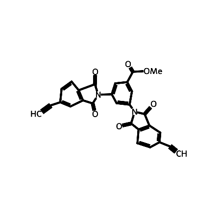 C#Cc1ccc2c(c1)C(=O)N(c1cc(C(=O)OC)cc(N3C(=O)c4ccc(C#C)cc4C3=O)c1)C2=O